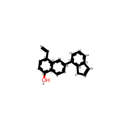 C=Cc1ccc(O)c2ccc(-c3cccc4c3CC=C4)cc12